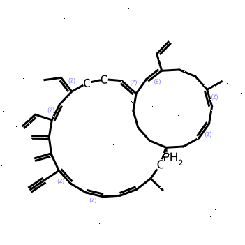 C#C/C1=C/C=C\C=CC(C)CC2(P)C/C=C\C=C(\C)CC/C(C=C)=C\C(=C/CCC(=C/C)/C=C(/C=C)C(=C)C1=C)CCC2